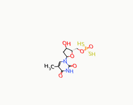 Cc1cn([C@H]2C[C@@H](O)[C@H](COP(=O)(S)S)O2)c(=O)[nH]c1=O